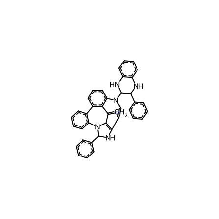 C=C1C2=C3/C=C\N(C4Nc5ccccc5NC4c4ccccc4)c4cccc(c41)-c1ccccc1N2C(c1ccccc1)N3